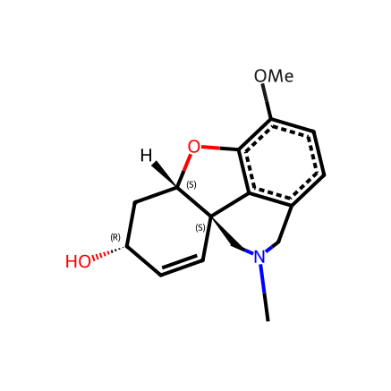 COc1ccc2c3c1O[C@H]1C[C@@H](O)C=C[C@@]31CN(C)C2